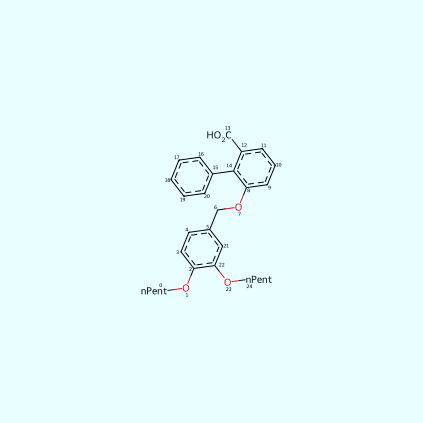 CCCCCOc1ccc(COc2cccc(C(=O)O)c2-c2ccccc2)cc1OCCCCC